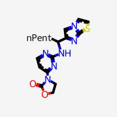 CCCCCC(Nc1nccc(N2CCOC2=O)n1)c1cn2ccsc2n1